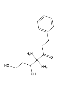 NC(N)(C(=O)CCc1ccccc1)C(O)CCO